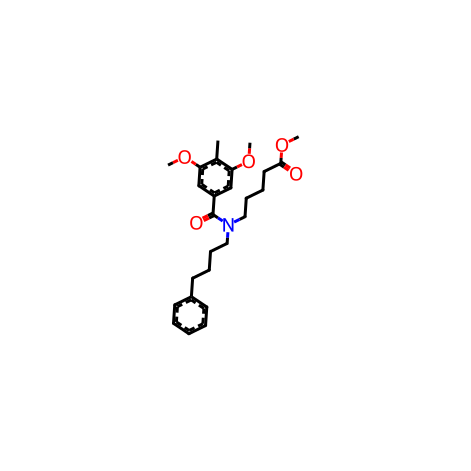 COC(=O)CCCCN(CCCCc1ccccc1)C(=O)c1cc(OC)c(C)c(OC)c1